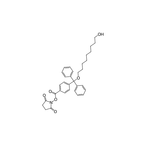 O=C(ON1C(=O)CCC1=O)c1ccc(C(OCCCCCCCCCO)(c2ccccc2)c2ccccc2)cc1